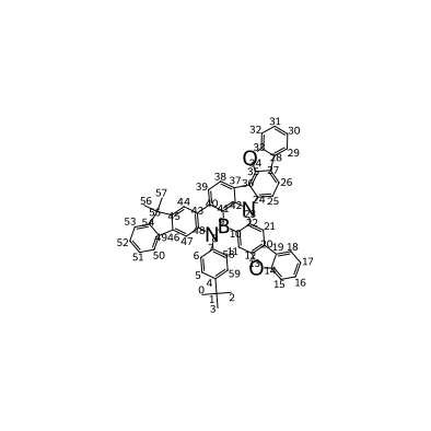 CC(C)(C)c1ccc(N2B3c4cc5oc6ccccc6c5cc4-n4c5ccc6c7ccccc7oc6c5c5ccc(c3c54)-c3cc4c(cc32)-c2ccccc2C4(C)C)cc1